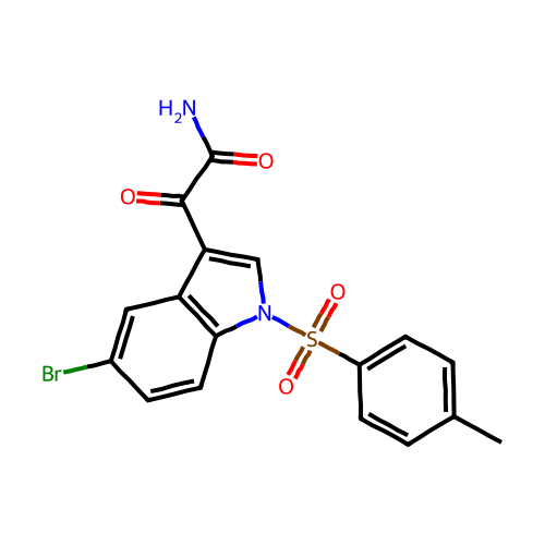 Cc1ccc(S(=O)(=O)n2cc(C(=O)C(N)=O)c3cc(Br)ccc32)cc1